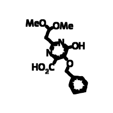 COC(Cc1nc(O)c(OCc2ccccc2)c(C(=O)O)n1)OC